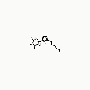 CCCCCCc1ccc(C2=NC(C)N(C)C(C)=N2)s1